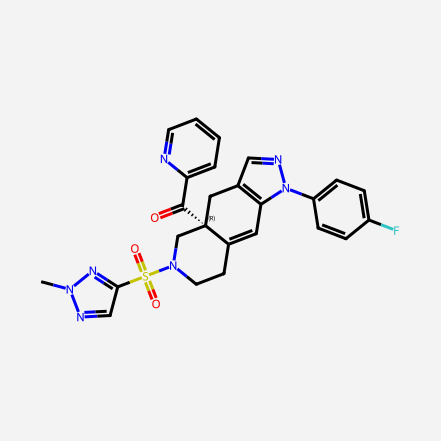 Cn1ncc(S(=O)(=O)N2CCC3=Cc4c(cnn4-c4ccc(F)cc4)C[C@]3(C(=O)c3ccccn3)C2)n1